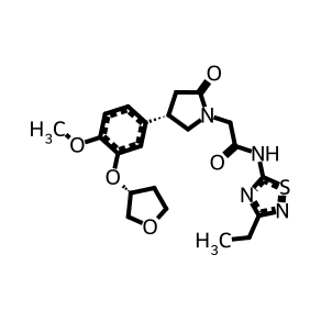 CCc1nsc(NC(=O)CN2C[C@H](c3ccc(OC)c(O[C@@H]4CCOC4)c3)CC2=O)n1